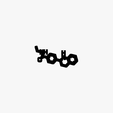 CCNC(=O)c1ccc(C2CCc3ccccc3N2)cc1